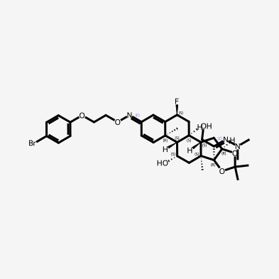 CN(C)/N=C(/CO)[C@@]12OC(C)(C)O[C@@H]1C[C@H]1[C@@H]3C[C@H](F)C4=C/C(=N/OCCOc5ccc(Br)cc5)C=C[C@]4(C)[C@H]3[C@@H](O)C[C@@]12C